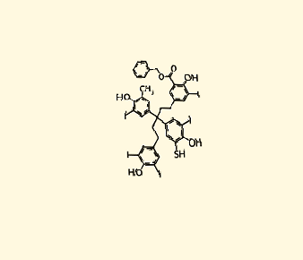 Cc1cc(C(CCc2cc(I)c(O)c(I)c2)(CCc2cc(I)c(O)c(C(=O)OCc3ccccc3)c2)c2cc(S)c(O)c(I)c2)cc(I)c1O